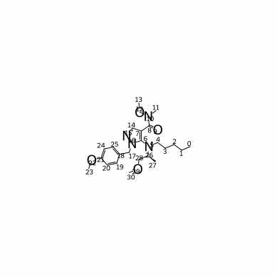 CCCCCN(c1c(C(=O)N(C)OC)cnn1Cc1ccc(OC)cc1)[C@@H](C)COC